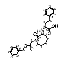 O=C(CN1CCCCCC(N[C@@H](CCc2ccccc2)C(=O)O)C1=O)OCc1ccccc1